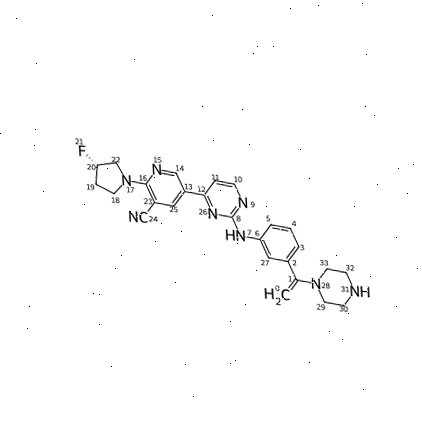 C=C(c1cccc(Nc2nccc(-c3cnc(N4CC[C@H](F)C4)c(C#N)c3)n2)c1)N1CCNCC1